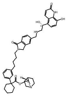 O=C1c2ccc(CNC[C@H](O)c3ccc(O)c4[nH]c(=O)ccc34)cc2CN1CCCCc1cccc(C2(C(=O)O[C@H]3CN4CCC3CC4)CCCCC2)c1